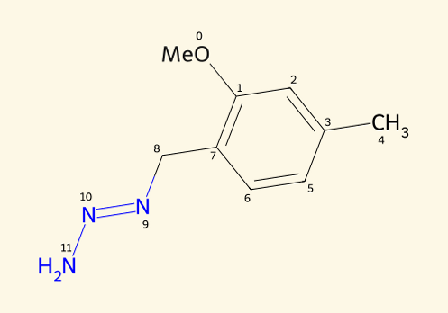 COc1cc(C)ccc1CN=NN